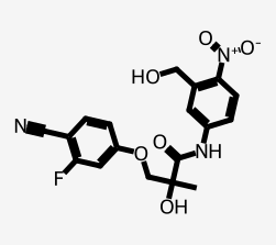 CC(O)(COc1ccc(C#N)c(F)c1)C(=O)Nc1ccc([N+](=O)[O-])c(CO)c1